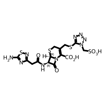 Nc1nc(CC(=O)N[C@@H]2C(=O)N3C(C(=O)O)=C(CSc4nnnn4CS(=O)(=O)O)CS[C@H]23)ns1